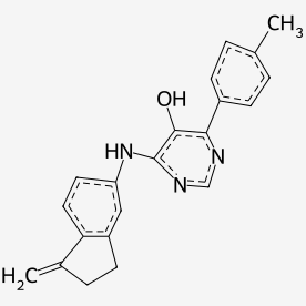 C=C1CCc2cc(Nc3ncnc(-c4ccc(C)cc4)c3O)ccc21